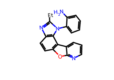 CCc1nc2ccc3oc4ncccc4c3c2n1-c1ccccc1N